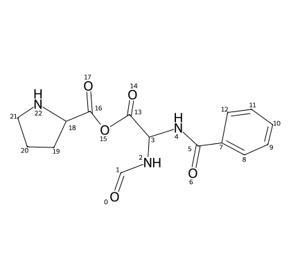 O=CNC(NC(=O)c1ccccc1)C(=O)OC(=O)C1CCCN1